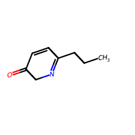 CCCC1=NCC(=O)C=C1